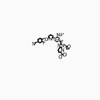 C[C@@H](c1nc2ccc(C(=O)[O-])nc2n1C[C@@H]1CCO1)N1CCN(c2cccc(OCc3ccc(C#N)cc3F)n2)CC1.[Na+]